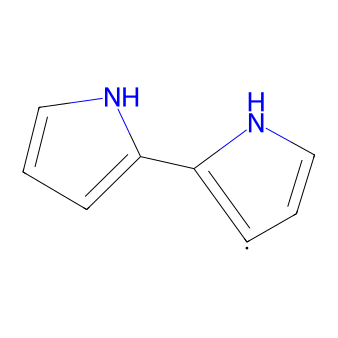 [c]1cc[nH]c1-c1ccc[nH]1